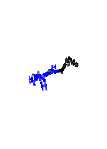 CNCNNN